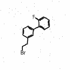 Fc1ccccc1-c1cccc(CCBr)c1